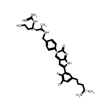 C[C@H](N)CCCc1cc(Cl)c(F)c(-c2cc3cn(-c4ccc(CN[C@H](C)C[C@@H](CCO)NC(=N)N)cc4)c(=O)nc3[nH]2)c1